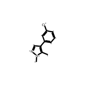 Cc1c(-c2c[c]cc(Cl)c2)cnn1C